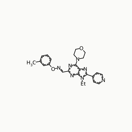 CCn1c(-c2ccncc2)nc2c(N3CCOCC3)nc(C=NOc3cccc(C)c3)nc21